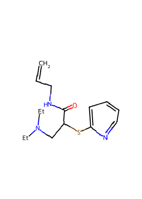 C=CCNC(=O)C(CN(CC)CC)Sc1ccccn1